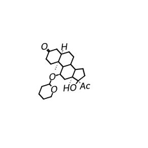 CC(=O)[C@@]1(O)CCC2C3CC[C@@H]4CC(=O)CC[C@]4(C)C3[C@H](OC3CCCCO3)C[C@@]21C